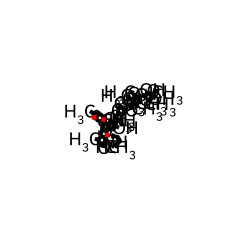 C#C/C=C\C#C[C@H](OC1CC(O)[C@H](NOC2CC[C@H](SC(=O)c3c(C)c(C)c(OC4O[C@@H](C)C(O)[C@@H](OC)[C@H]4O)c(OC)c3OC)C(C)O2)C(C)O1)C1=C(NC)C(=O)CC(C)/C1=C/CSSC1(C)CC2CC(C)CC(C2)C1